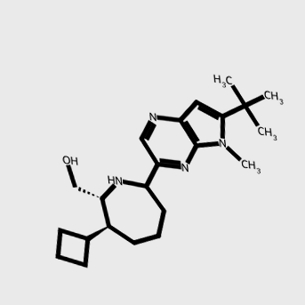 Cn1c(C(C)(C)C)cc2ncc(C3CCC[C@@H](C4CCC4)[C@H](CO)N3)nc21